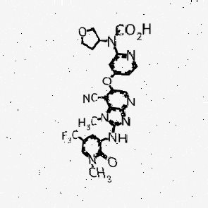 Cn1cc(C(F)(F)F)cc(Nc2nc3ncc(Oc4ccnc(N(C(=O)O)[C@H]5CCOC5)c4)c(C#N)c3n2C)c1=O